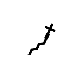 [CH2]CCCCC#CC(C)(C)C